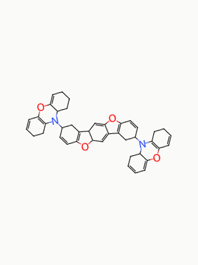 C1=CCC2C(=C1)OC1=C(CCC=C1)N2C1C=Cc2oc3c(c2C1)=CC1OC2=C(CC(N4C5=C(C=CCC5)OC5=CCCCC54)C=C2)C1C=3